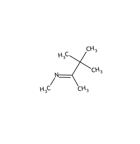 C/N=C(\C)C(C)(C)C